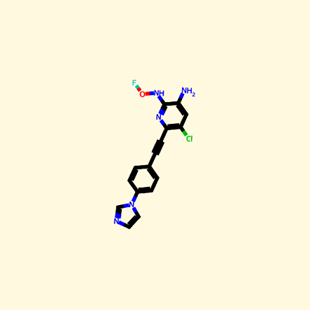 Nc1cc(Cl)c(C#Cc2ccc(-n3ccnc3)cc2)nc1NOF